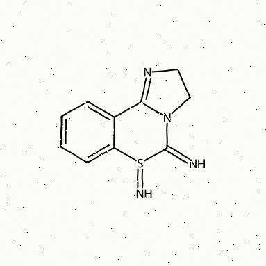 N=C1N2CCN=C2c2ccccc2S1=N